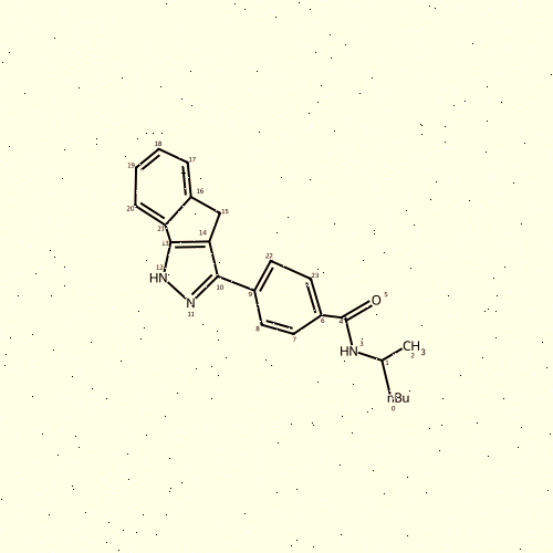 CCCCC(C)NC(=O)c1ccc(-c2n[nH]c3c2Cc2ccccc2-3)cc1